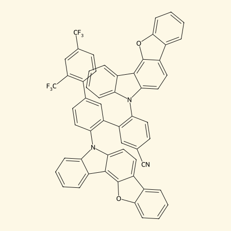 N#Cc1ccc(-n2c3ccccc3c3c4oc5ccccc5c4ccc32)c(-c2cc(-c3ccc(C(F)(F)F)cc3C(F)(F)F)ccc2-n2c3ccccc3c3c4oc5ccccc5c4ccc32)c1